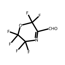 O=CC1=NC(F)(F)C(F)(F)OC1(F)F